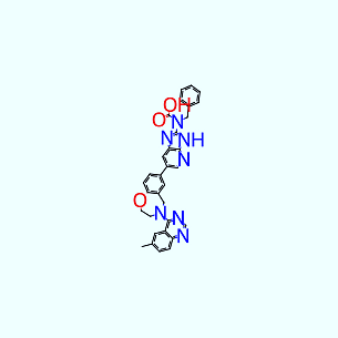 Cc1ccc2ncnc(N3CCOc4ccc(-c5cnc6[nH]c(N(Cc7ccccc7)C(=O)O)nc6c5)cc4C3)c2c1